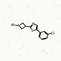 CC(C)N1CC(c2ncc(-c3cccc(Cl)c3)s2)C1